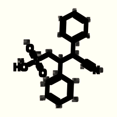 N#CC(c1ccccc1)C(CS(=O)(=O)O)c1ccccc1